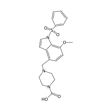 COc1ccc(CN2CCN(C(=O)O)CC2)c2ccn(S(=O)(=O)c3ccccc3)c12